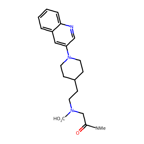 CNC(=O)CN(CCC1CCN(c2cnc3ccccc3c2)CC1)C(=O)O